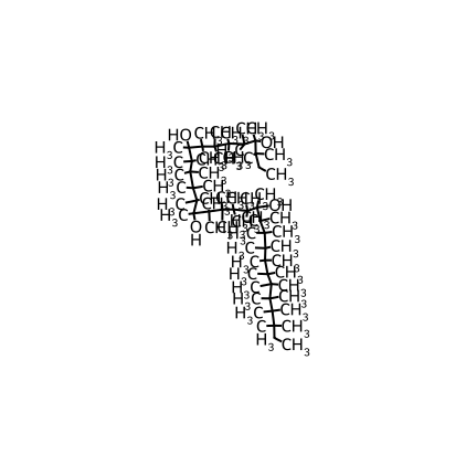 CCC(C)(C)C(C)(C)C(C)(C)C(C)(C)C(C)(C)C(C)(C)C(C)(C)C(C)(C)C(C)(C)C(C)(O)C(C)(C)C(C)(C)C(C)(C)C(C)(C)C(C)(O)C(C)(C)C(C)(C)C(C)(C)C(C)(C)C(C)(O)C(C)(C)C(C)(C)C(C)(C)C(C)(C)C(C)(O)C(C)(C)CC